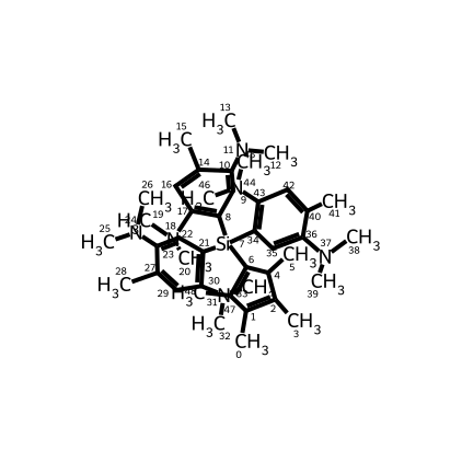 CC1=C(C)C(C)C([Si](c2cc(N(C)C)c(C)cc2N(C)C)(c2cc(N(C)C)c(C)cc2N(C)C)c2cc(N(C)C)c(C)cc2N(C)C)=C1C